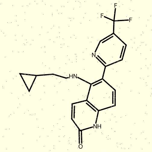 O=c1ccc2c(NCCC3CC3)c(-c3ccc(C(F)(F)F)cn3)ccc2[nH]1